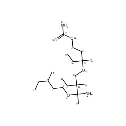 CCC(C)CCOC(C)(N)C(C)(CC)COC(C)(CC)CCOC(N)=O